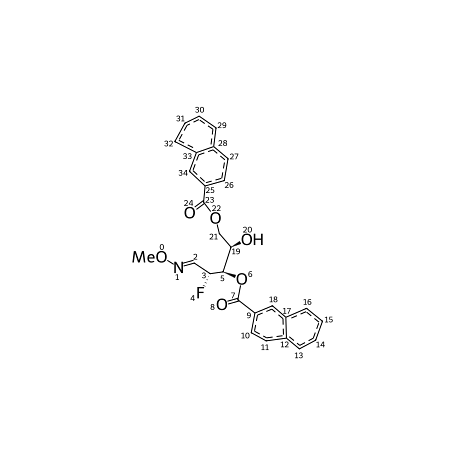 CO/N=C/[C@@H](F)[C@H](OC(=O)c1ccc2ccccc2c1)[C@H](O)COC(=O)c1ccc2ccccc2c1